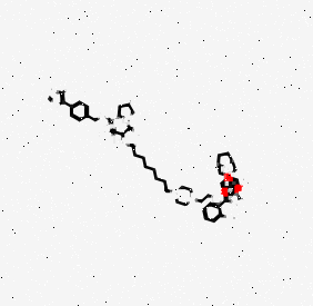 Cc1ncsc1-c1ccc(CNC(=O)[C@@H]2C[C@@H](O)CN2C(=O)C(NC(=O)CCCCCCC(=O)N2CCN(CCOc3cccc(N4C5CCC4CN(c4cc(-c6ccccc6O)nnc4N)C5)c3)CC2)C(C)(C)C)cc1